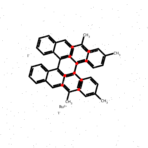 Cc1ccc(P(c2ccc(C)cc2)c2ccc3ccccc3c2-c2c(P(c3ccc(C)cc3)c3ccc(C)cc3)ccc3ccccc23)cc1.[I-].[I-].[Ru+2]